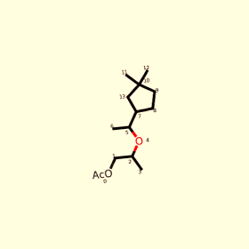 CC(=O)OCC(C)OC(C)C1CCC(C)(C)C1